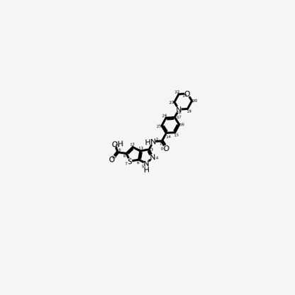 O=C(Nc1n[nH]c2sc(C(=O)O)cc12)c1ccc(N2CCOCC2)cc1